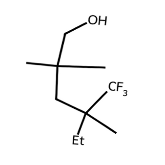 CCC(C)(CC(C)(C)CO)C(F)(F)F